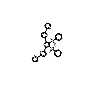 O=S(=O)(c1ccccc1)c1c(-c2ccc(-c3cccs3)s2)sc(-c2ccc(-c3cccs3)s2)c1S(=O)(=O)c1ccccc1